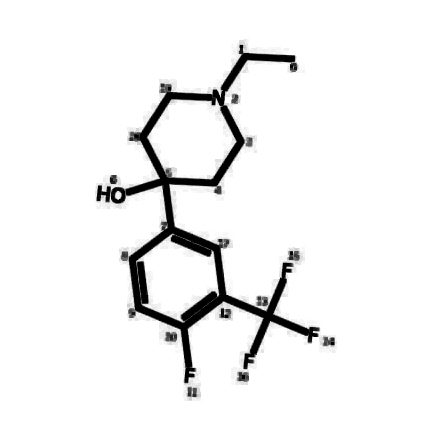 CCN1CCC(O)(c2ccc(F)c(C(F)(F)F)c2)CC1